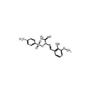 COc1cccc(C=NN(OS(=O)(=O)c2ccc(C)cc2)C(=N)N)c1O